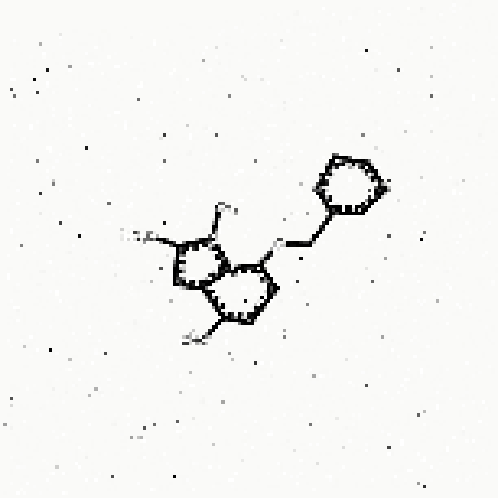 Cn1c(C(=O)O)cc2c(C=O)ccc(OCc3ccccc3)c21